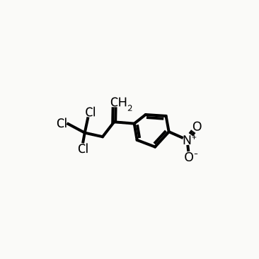 C=C(CC(Cl)(Cl)Cl)c1ccc([N+](=O)[O-])cc1